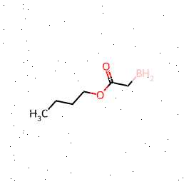 BCC(=O)OCCCC